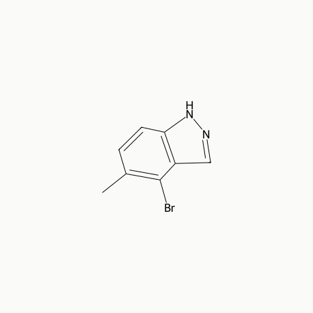 Cc1ccc2[nH]ncc2c1Br